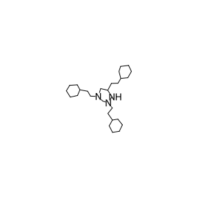 C1CCC(CCC2CN(CCC3CCCCC3)CN(CCC3CCCCC3)N2)CC1